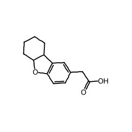 O=C(O)Cc1ccc2c(c1)C1CCCCC1O2